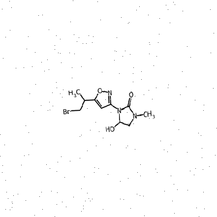 CC(CBr)c1cc(N2C(=O)N(C)CC2O)no1